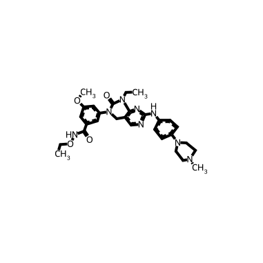 CCONC(=O)c1cc(OC)cc(N2Cc3cnc(Nc4ccc(N5CCN(C)CC5)cc4)nc3N(CC)C2=O)c1